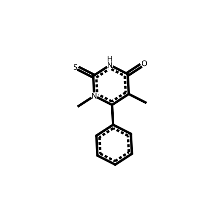 Cc1c(-c2ccccc2)n(C)c(=S)[nH]c1=O